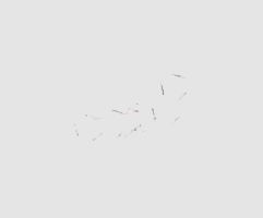 O=C1C(=O)C2c3cc4ccccc4cc3C1c1ccc3ccccc3c12